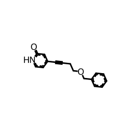 O=c1cc(C#CCCOCc2ccccc2)cc[nH]1